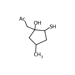 CC(=O)CC1(O)CC(C)CC1S